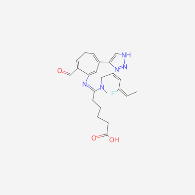 C/C=C(F)\C=C/CN(C)/C(CCCCC(=O)O)=N\C1=CC(c2c[nH]nn2)=CCC=C1C=O